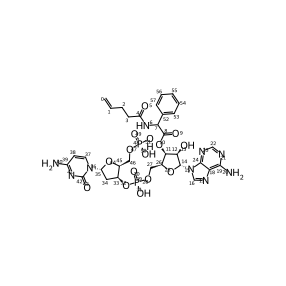 C=CCCC(=O)NC(C(=O)O[C@H]1[C@@H](O)[C@H](n2cnc3c(N)ncnc32)O[C@H]1COP(=O)(O)O[C@H]1C[C@H](n2ccc(N)nc2=O)O[C@H]1COP(=O)(O)O)c1ccccc1